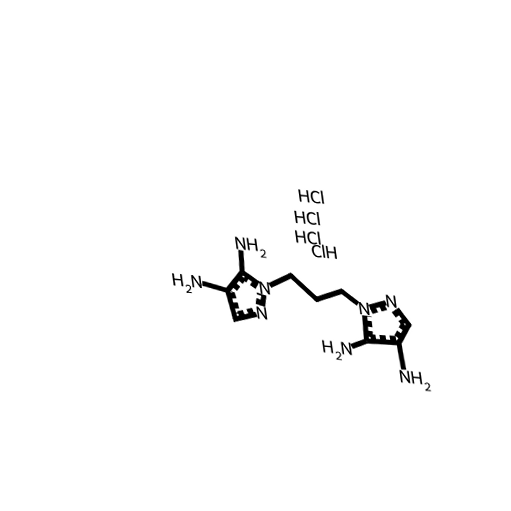 Cl.Cl.Cl.Cl.Nc1cnn(CCCn2ncc(N)c2N)c1N